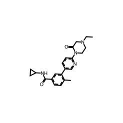 CCN1CCN(c2ccc(-c3cc(C(=O)NC4CC4)ccc3C)cn2)C(=O)C1